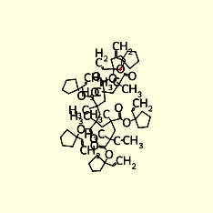 C=CC1(OC(=O)C(C)(C)CC(C)(CC(C)(CC(C)(CC(C)(CC(C)(CC)C(=O)OC2(C=C)CCCC2)C(=O)OC2(C=C)CCCC2)C(=O)OC2(C=C)CCCC2)C(=O)OC2(C=C)CCCC2)C(=O)OC2(C=C)CCCC2)CCCC1